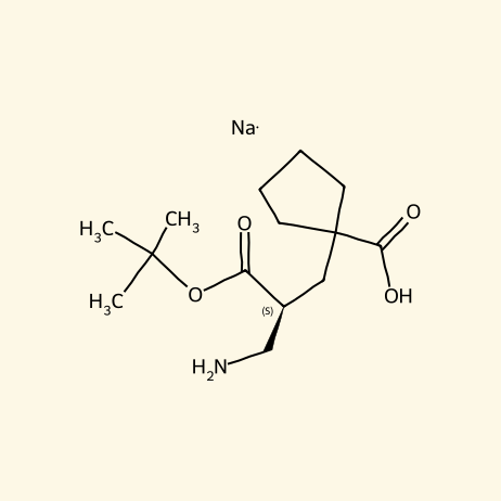 CC(C)(C)OC(=O)[C@H](CN)CC1(C(=O)O)CCCC1.[Na]